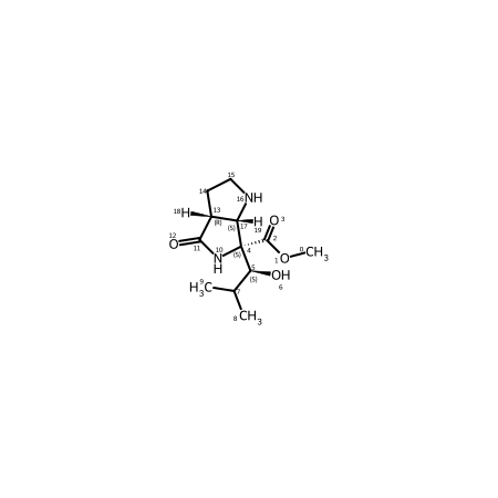 COC(=O)[C@]1([C@@H](O)C(C)C)NC(=O)[C@@H]2CCN[C@@H]21